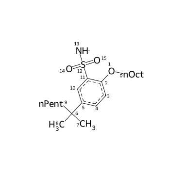 CCCCCCCCOc1ccc(C(C)(C)CCCCC)cc1S([NH])(=O)=O